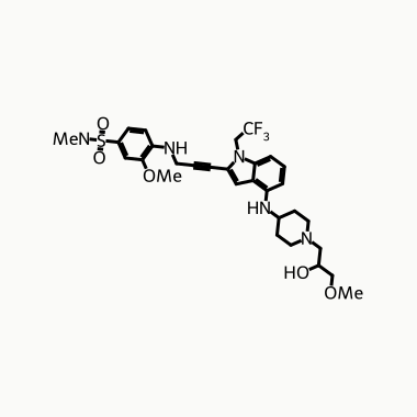 CNS(=O)(=O)c1ccc(NCC#Cc2cc3c(NC4CCN(CC(O)COC)CC4)cccc3n2CC(F)(F)F)c(OC)c1